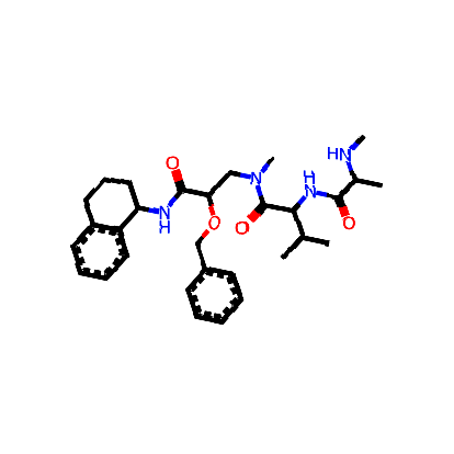 CNC(C)C(=O)NC(C(=O)N(C)CC(OCc1ccccc1)C(=O)NC1CCCc2ccccc21)C(C)C